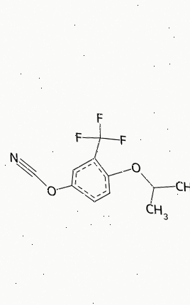 CC(C)Oc1ccc(OC#N)cc1C(F)(F)F